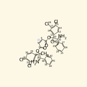 CC(OC(=O)/C=C\C(=O)OC(C)(c1ccc(Cl)c(Cl)c1)C(N)c1ccccc1)(c1ccc(Cl)c(Cl)c1)C(N)c1ccccc1